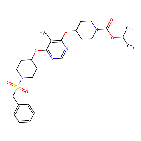 Cc1c(OC2CCN(C(=O)OC(C)C)CC2)ncnc1OC1CCN(S(=O)(=O)Cc2ccccc2)CC1